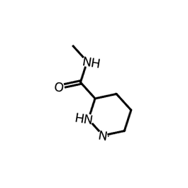 CNC(=O)C1CCC[N]N1